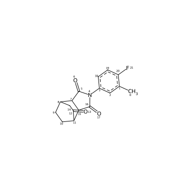 Cc1cc(N2C(=O)C3C4CCC(C(=O)C4)C3C2=O)ccc1F